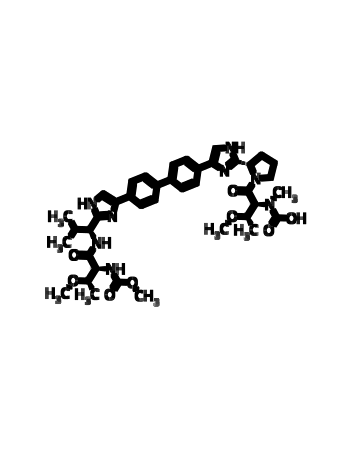 COC(=O)N[C@H](C(=O)N[C@H](c1nc(-c2ccc(-c3ccc(-c4c[nH]c([C@@H]5CCCN5C(=O)[C@H]([C@@H](C)OC)N(C)C(=O)O)n4)cc3)cc2)c[nH]1)C(C)C)[C@@H](C)OC